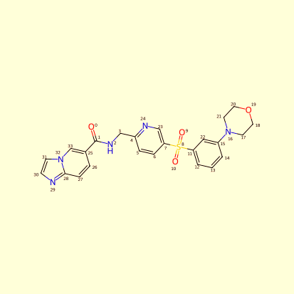 O=C(NCc1ccc(S(=O)(=O)c2cccc(N3CCOCC3)c2)cn1)c1ccc2nccn2c1